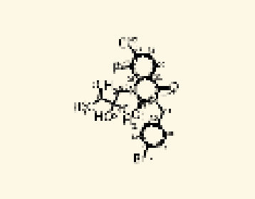 CC(C)C(C)(O)Cn1c(=O)n(Cc2ccc(Br)cc2)c(=O)c2ccc(Cl)c(F)c21